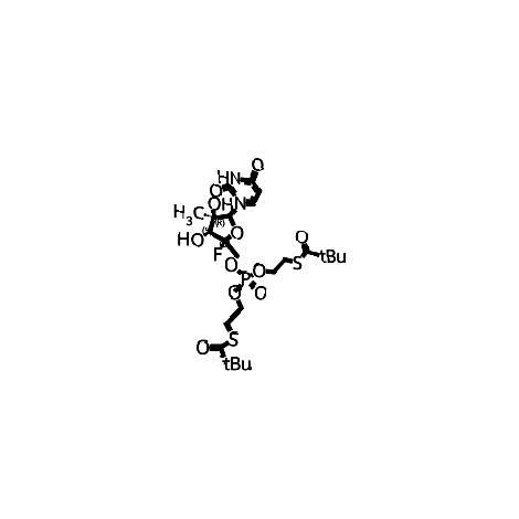 CC(C)(C)C(=O)SCCOP(=O)(OCCSC(=O)C(C)(C)C)OC[C@@]1(F)OC(n2ccc(=O)[nH]c2=O)[C@](C)(O)[C@@H]1O